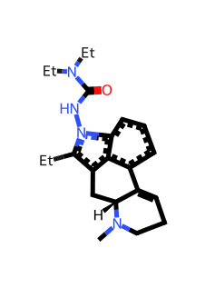 CCc1c2c3c(cccc3n1NC(=O)N(CC)CC)C1=CCCN(C)[C@@H]1C2